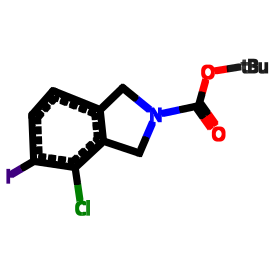 CC(C)(C)OC(=O)N1Cc2ccc(I)c(Cl)c2C1